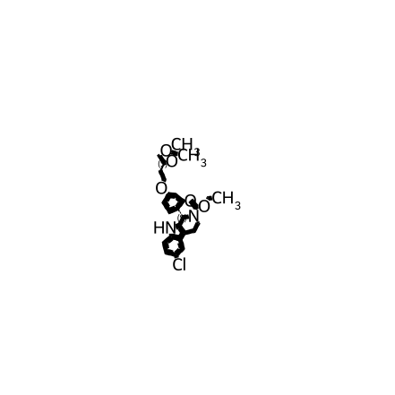 CCOC(=O)N1CCc2c([nH]c3ccc(Cl)cc23)[C@@H]1c1ccc(OCC[C@H]2COC(C)(C)O2)cc1